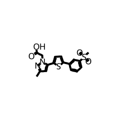 Cc1cc(-c2ccc(-c3cccc(S(C)(=O)=O)c3)s2)n(CC(=O)O)n1